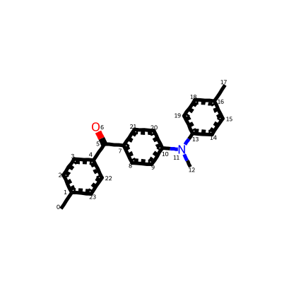 Cc1ccc(C(=O)c2ccc(N(C)c3ccc(C)cc3)cc2)cc1